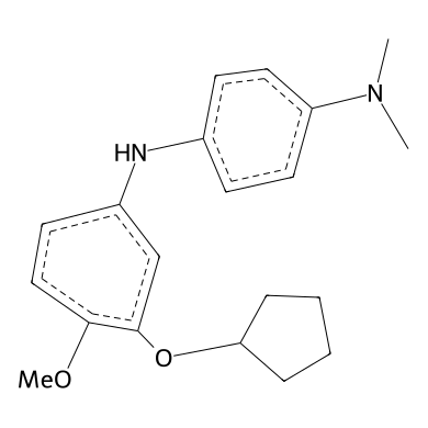 COc1ccc(Nc2ccc(N(C)C)cc2)cc1OC1CCCC1